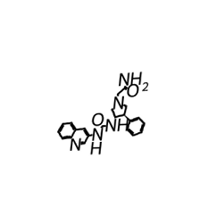 NC(=O)CN1C[C@@H](NC(=O)Nc2cnc3ccccc3c2)[C@H](c2ccccc2)C1